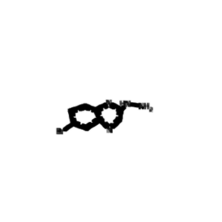 NNc1cnc2cc(Br)ccc2n1